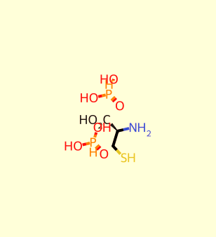 N[C@@H](CS)C(=O)O.O=[PH](O)O.O=[PH](O)O